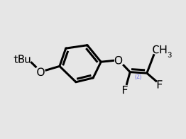 C/C(F)=C(/F)Oc1ccc(OC(C)(C)C)cc1